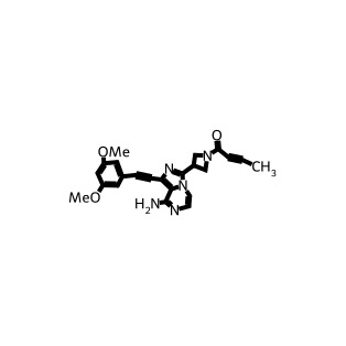 CC#CC(=O)N1CC(c2nc(C#Cc3cc(OC)cc(OC)c3)c3c(N)nccn23)C1